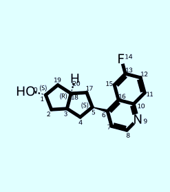 O[C@H]1CC2C[C@H](c3ccnc4ccc(F)cc34)C[C@@H]2C1